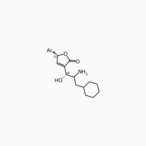 CC(=O)[C@@H]1C=C([C@@H](O)C(N)CC2CCCCC2)C(=O)O1